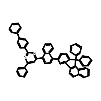 c1ccc(-c2ccc(-c3nc(-c4ccccc4)cc(-c4ccc(-c5ccc6c(c5)-c5ccc7ccccc7c5C6(c5ccccc5)c5ccccc5)c5ccccc45)n3)cc2)cc1